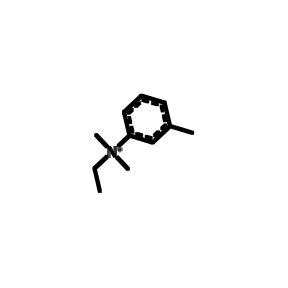 CC[N+](C)(C)c1cccc(C)c1